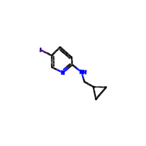 Ic1ccc(NCC2CC2)nc1